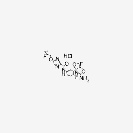 Cl.NC1=NC2(c3cc(NC(=O)c4cnc(OCC5(F)CC5)cn4)ccc3F)COCC2(F)CO1